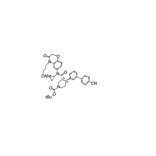 COCCCN1C(=O)COc2ccc(N(C(=O)[C@H]3CN(C(=O)OC(C)(C)C)CC[C@@H]3c3cccc(-c4ccc(C#N)cc4)c3)C3CC3)cc21